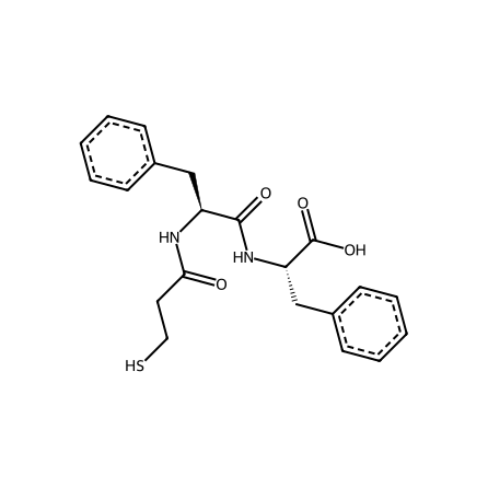 O=C(CCS)N[C@@H](Cc1ccccc1)C(=O)N[C@@H](Cc1ccccc1)C(=O)O